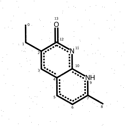 CCc1cc2ccc(C)[nH]c-2nc1=O